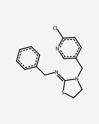 Clc1ccc(CN2CCS/C2=N\Cc2ccccc2)cn1